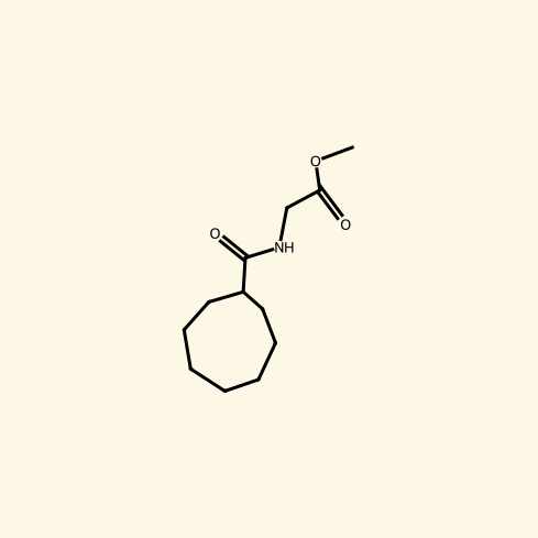 COC(=O)CNC(=O)C1CCCCCCC1